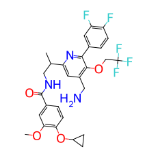 COc1cc(C(=O)NCC(C)c2cc(CN)c(OCC(F)(F)F)c(-c3ccc(F)c(F)c3)n2)ccc1OC1CC1